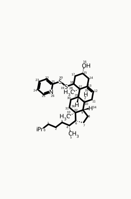 CC(C)CCC[C@@H](C)[C@H]1CC[C@H]2[C@@H]3CC=C4C[C@@H](O)CC(SSc5ccccn5)[C@]4(C)[C@H]3CC[C@]12C